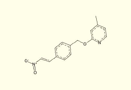 Cc1ccnc(OCc2ccc(C=C[N+](=O)[O-])cc2)c1